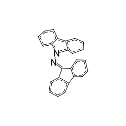 c1ccc2c(c1)C(=Nn1c3ccccc3c3ccccc31)c1ccccc1-2